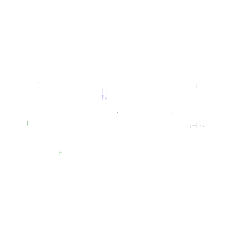 CCCCCCc1cc(C(=O)Nc2cc(F)c(F)c(F)c2)ccc1F